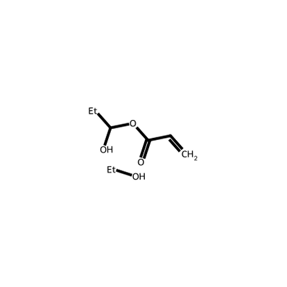 C=CC(=O)OC(O)CC.CCO